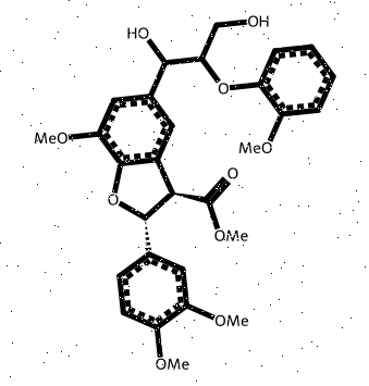 COC(=O)[C@@H]1c2cc(C(O)C(CO)Oc3ccccc3OC)cc(OC)c2O[C@H]1c1ccc(OC)c(OC)c1